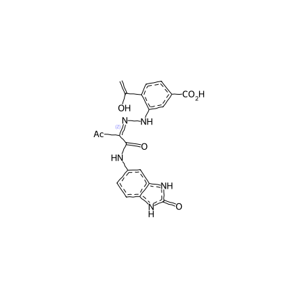 C=C(O)c1ccc(C(=O)O)cc1N/N=C(/C(C)=O)C(=O)Nc1ccc2[nH]c(=O)[nH]c2c1